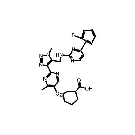 Cc1nc(-c2nnn(C)c2CNc2nccc(-c3ccccc3F)n2)ncc1O[C@H]1CCC[C@H](C(=O)O)C1